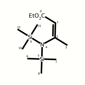 CCOC(=O)C=C(C)N([Si](C)(C)C)[Si](C)(C)C